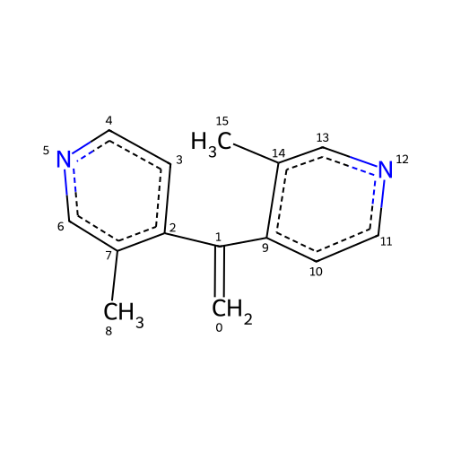 C=C(c1ccncc1C)c1ccncc1C